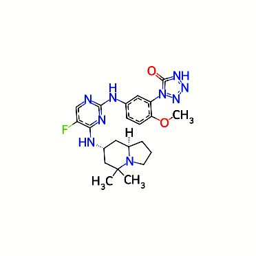 COc1ccc(Nc2ncc(F)c(N[C@@H]3C[C@H]4CCCN4C(C)(C)C3)n2)cc1-n1nn[nH]c1=O